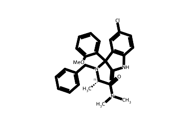 COc1ccccc1C1(N(Cc2ccccc2)[C@@H](C)C(=O)N(C)C)C(=O)Nc2ccc(Cl)cc21